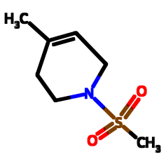 CC1=CCN(S(C)(=O)=O)CC1